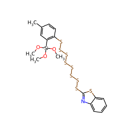 CO[Si](OC)(OC)c1cc(C)ccc1SSSSSSSSc1nc2ccccc2s1